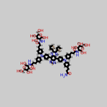 NC(=O)CCc1ccc(N(c2ccc(CCC(=O)N[C@@H]3C(O)O[C@@H](CO)[C@H](O)[C@H]3O)cc2)c2ccc(-c3c4nsnc4c(-c4ccc(N(c5ccc(CCC(=O)NC6C(O)O[C@@H](CO)[C@H](O)[C@H]6O)cc5)c5ccc(CCC(=O)N[C@@H]6C(O)O[C@@H](CO)[C@H](O)[C@H]6O)cc5)cc4)c4nc(-c5cccs5)c(-c5cccs5)nc34)cc2)cc1